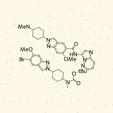 CNC1CCC(n2cc3cc(C(=O)Nc4cnc5cccnn45)c(OC)cc3n2)CC1.COc1cc2nn(C3CCC(N(C)C(=O)OC(C)(C)C)CC3)cc2cc1Br